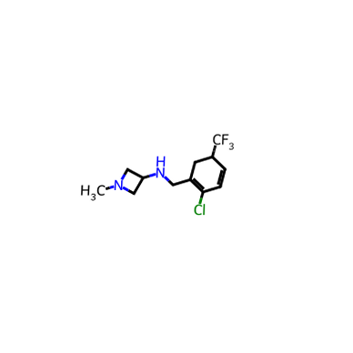 CN1CC(NCC2=C(Cl)C=CC(C(F)(F)F)C2)C1